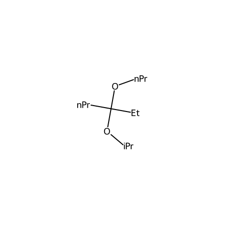 [CH2]C(C)OC(CC)(CCC)OCCC